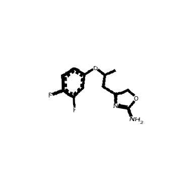 CC(CC1COC(N)=N1)Oc1ccc(F)c(F)c1